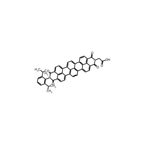 CC(C)c1cccc(C(C)C)c1N1C(=O)c2ccc3c4ccc5c6ccc7c8c(ccc(c9ccc(c%10ccc(c2c3%10)C1=O)c4c59)c86)C(=O)N(CC(=O)O)C7=O